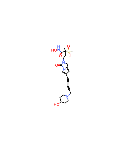 CC(CCN1Cc2cc(C#CC#CCN3CCC(O)CC3)cn2C1=O)(C(=O)NO)S(C)(=O)=O